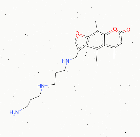 Cc1c2oc(=O)cc(C)c2c(C)c2c(CNCCCNCCCN)coc12